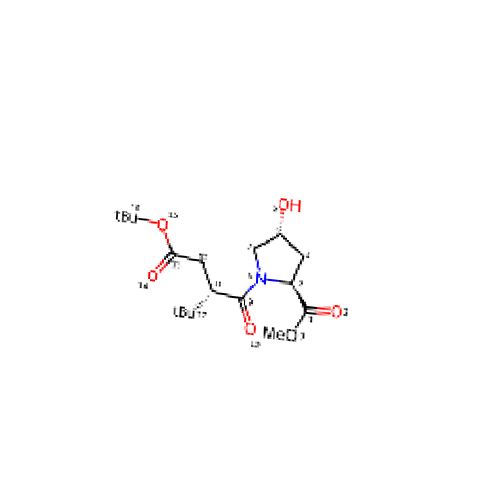 COC(=O)[C@@H]1C[C@@H](O)CN1C(=O)[C@@H](CC(=O)OC(C)(C)C)C(C)(C)C